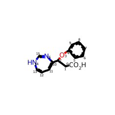 O=C(O)CC(Oc1ccccc1)C1=CC=CNC=N1